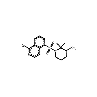 CC1(C)C(N)CCCN1S(=O)(=O)c1cccc2c(Cl)nccc12